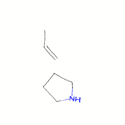 C1CCNC1.C=CC